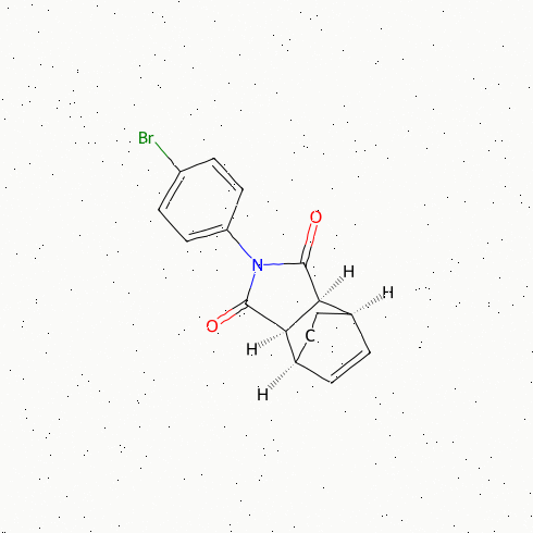 O=C1[C@@H]2[C@H](C(=O)N1c1ccc(Br)cc1)[C@@H]1C=C[C@H]2CC1